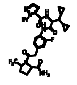 CC(C)n1nccc1C(=O)NC(C(=O)Nc1ccc(CC(=O)N2C(C(N)=O)CCC2C(F)(F)F)cc1F)C(C1CC1)C1CC1